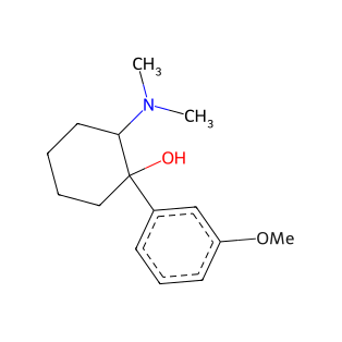 COc1cccc(C2(O)CCCCC2N(C)C)c1